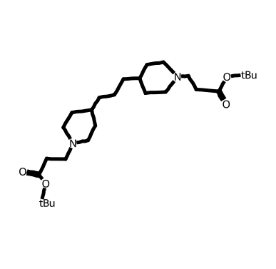 CC(C)(C)OC(=O)CCN1CCC(CCCC2CCN(CCC(=O)OC(C)(C)C)CC2)CC1